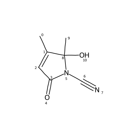 CC1=CC(=O)N(C#N)C1(C)O